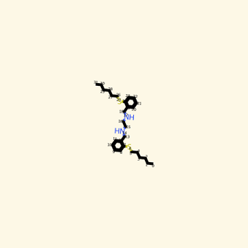 CCCCCCSc1ccccc1CNCCNCc1ccccc1SCCCCCC